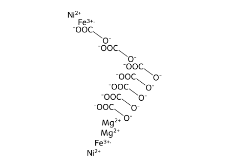 O=C([O-])[O-].O=C([O-])[O-].O=C([O-])[O-].O=C([O-])[O-].O=C([O-])[O-].O=C([O-])[O-].O=C([O-])[O-].[Fe+3].[Fe+3].[Mg+2].[Mg+2].[Ni+2].[Ni+2]